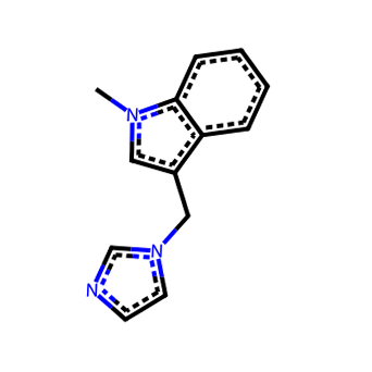 Cn1cc(Cn2ccnc2)c2ccccc21